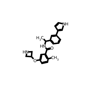 Cc1ccc(OC2CNC2)cc1C(=O)NC(C)c1cccc(-c2cc[nH]c2)c1